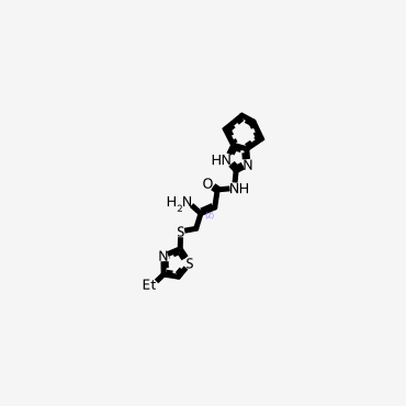 CCc1csc(SC/C(N)=C/C(=O)Nc2nc3ccccc3[nH]2)n1